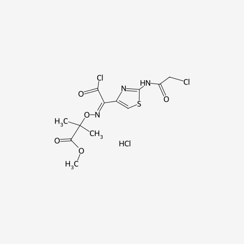 COC(=O)C(C)(C)ON=C(C(=O)Cl)c1csc(NC(=O)CCl)n1.Cl